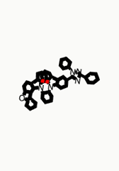 c1ccc(-c2nc(-c3ccc4c(c3)c3ccccc3n4-c3ccccc3-n3c4ccccc4c4ccc5oc6ccccc6c5c43)n(-c3ccccc3)n2)cc1